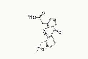 CC1(C)Cc2c(ccc3c(=O)c4cccc(CC(=O)O)c4oc23)O1